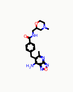 Cc1nc2nonc2c(N)c1Cc1ccc(C(=O)NCC2CN(C)CCO2)cc1